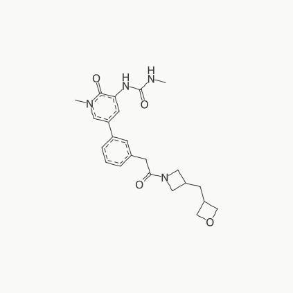 CNC(=O)Nc1cc(-c2cccc(CC(=O)N3CC(CC4COC4)C3)c2)cn(C)c1=O